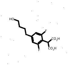 O=C(O)C(C(=O)O)c1c(F)cc(CCCCO)cc1F